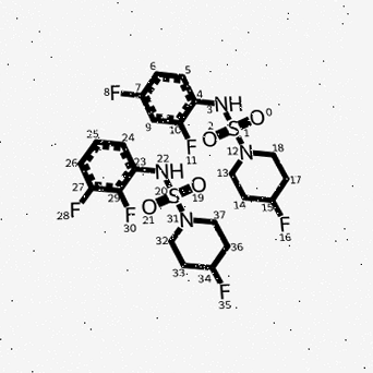 O=S(=O)(Nc1ccc(F)cc1F)N1CCC(F)CC1.O=S(=O)(Nc1cccc(F)c1F)N1CCC(F)CC1